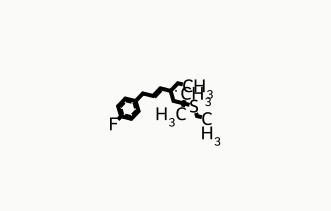 CCSC(C)(C)C[C](C=CCc1ccc(F)cc1)CC